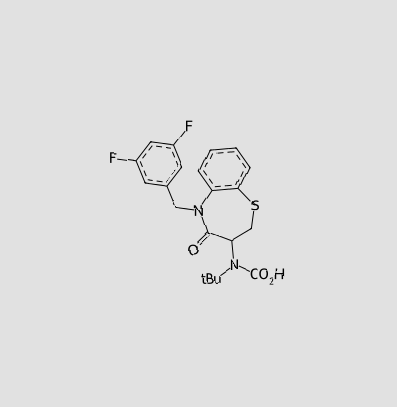 CC(C)(C)N(C(=O)O)C1CSc2ccccc2N(Cc2cc(F)cc(F)c2)C1=O